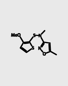 COc1ccsc1SN(C)c1cc(C)on1